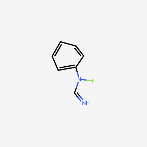 N=CN(F)c1ccccc1